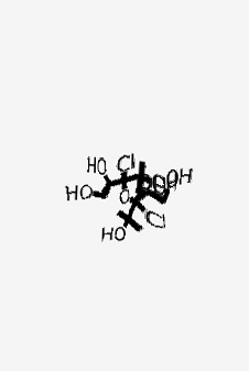 CC(C)(O)C(Cl)(OC(Cl)(C(O)CO)C(C)(C)O)C(O)CO